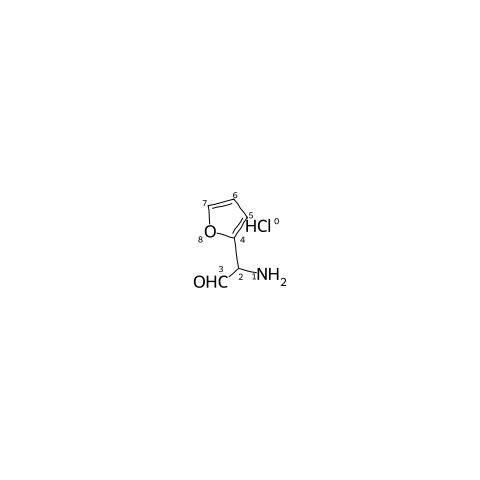 Cl.NC(C=O)c1ccco1